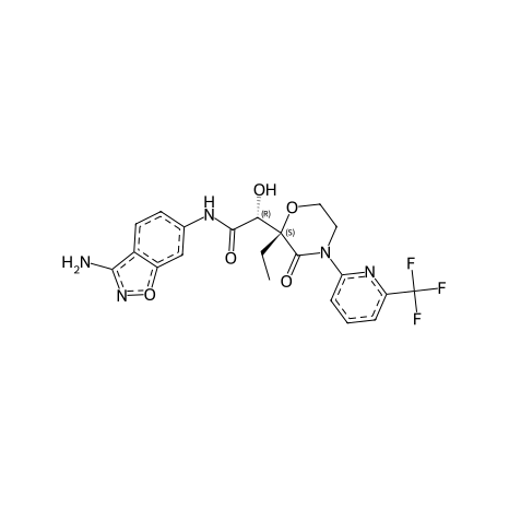 CC[C@@]1([C@@H](O)C(=O)Nc2ccc3c(N)noc3c2)OCCN(c2cccc(C(F)(F)F)n2)C1=O